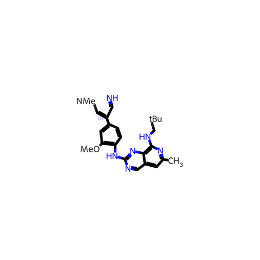 CN/C=C(\C=N)c1ccc(Nc2ncc3cc(C)nc(NCC(C)(C)C)c3n2)c(OC)c1